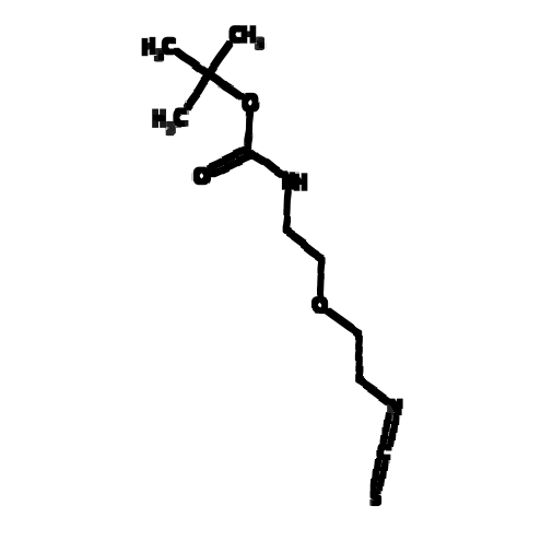 CC(C)(C)OC(=O)NCCOCCN=C=S